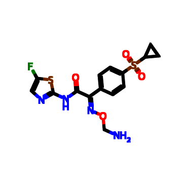 NCO/N=C(/C(=O)Nc1ncc(F)s1)c1ccc(S(=O)(=O)C2CC2)cc1